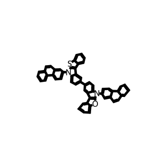 c1ccc2c(c1)ccc1cc(-n3c4ccc(-c5ccc6c(c5)c5c7ccccc7sc5n6-c5ccc6c(ccc7ccccc76)c5)cc4c4c5ccccc5oc43)ccc12